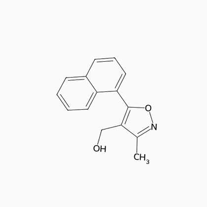 Cc1noc(-c2cccc3ccccc23)c1CO